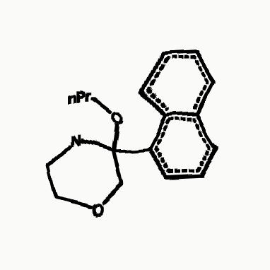 CCCOC1(c2cccc3ccccc23)COCC[N]1